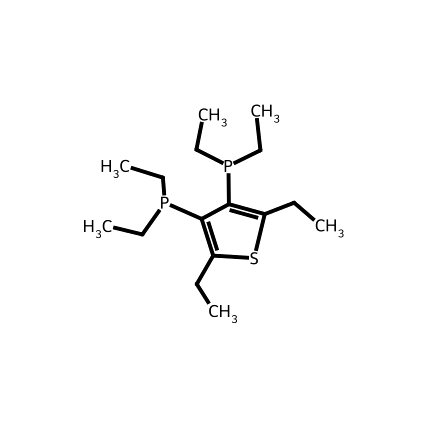 CCc1sc(CC)c(P(CC)CC)c1P(CC)CC